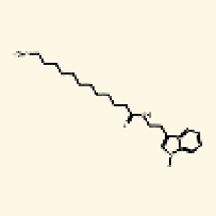 CCCCCCCCCCCCCCCCCCCCCC(=O)NCCc1cn(C)c2ccccc12